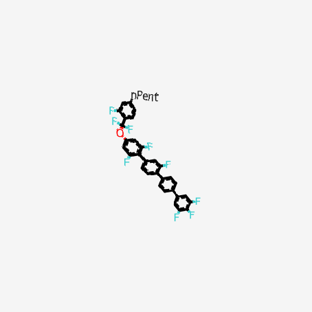 CCCCCc1ccc(C(F)(F)Oc2cc(F)c(-c3ccc(-c4ccc(-c5cc(F)c(F)c(F)c5)cc4)c(F)c3)c(F)c2)c(F)c1